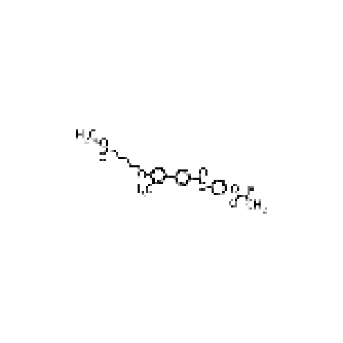 C=COC(=O)CCCCCOc1ccc(-c2ccc(C(=O)Oc3ccc(OC(=O)C(=C)F)cc3)cc2)cc1C